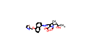 C[C@@H](O)CC1[C@@H](C)C(CNc2cccc3c(OCc4nccs4)cccc23)=C(C(=O)O)N1C=O